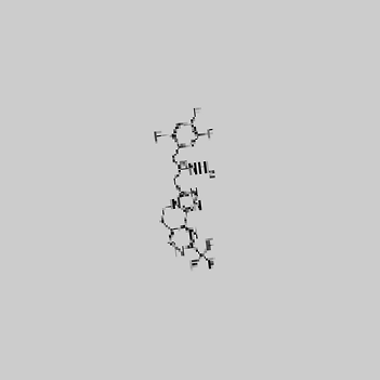 N[C@H](Cc1cc(F)c(F)cc1F)Cc1nnc2n1CCc1cnc(C(F)(F)F)nc1-2